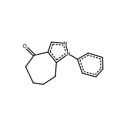 O=C1CCCCc2c1cnn2-c1ccccc1